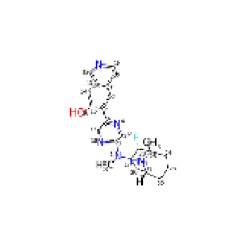 CN(c1cnc(-c2cc3ccncc3cc2O)cn1)[C@@H]1C[C@H]2CCC[C@](C)(N2)[C@H]1F